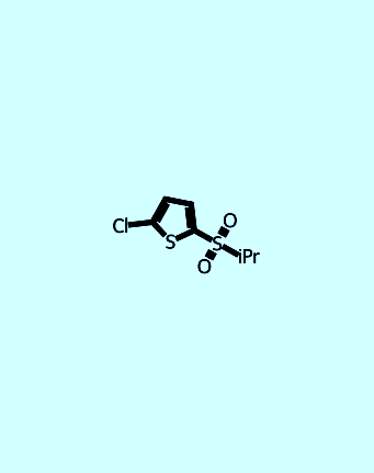 CC(C)S(=O)(=O)c1ccc(Cl)s1